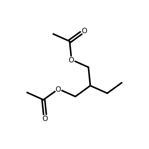 CCC(COC(C)=O)COC(C)=O